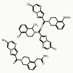 CC(=O)Nc1cccc2c1CCN(C(=O)c1cc3ncc(Cl)cn3n1)C2.CC1c2cccc(Cl)c2CCN1C(=O)c1cc2ncc(Cl)cn2n1.NC(=O)Cc1cccc2c1CCN(C(=O)c1cc3ncc(Br)cn3n1)C2